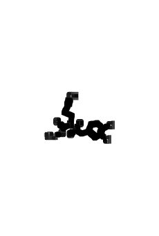 C#CCCN(C(=O)OC(C)(C)C)S(=O)(=O)Cc1ccc(Cl)c(Cl)c1